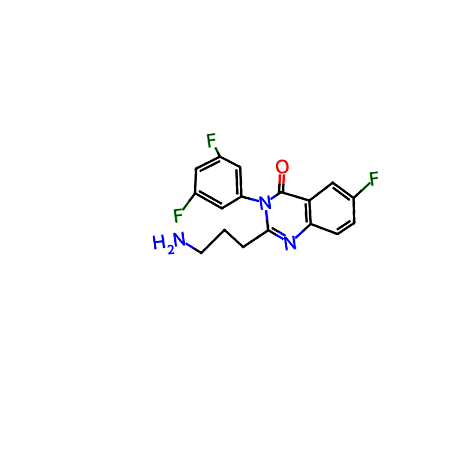 NCCCc1nc2ccc(F)cc2c(=O)n1-c1cc(F)cc(F)c1